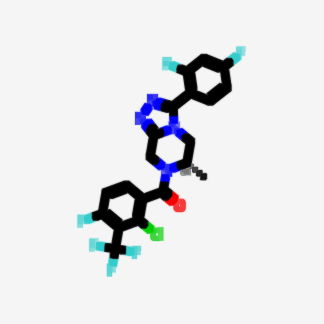 C[C@H]1Cn2c(nnc2-c2ccc(F)cc2F)CN1C(=O)c1ccc(F)c(C(F)(F)F)c1Cl